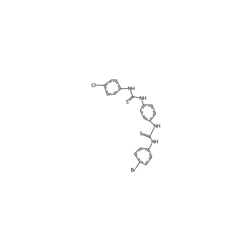 S=C(Nc1ccc(Cl)cc1)Nc1ccc(NC(=S)Nc2ccc(Br)cc2)cc1